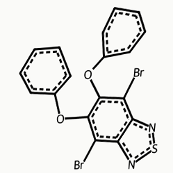 Brc1c(Oc2ccccc2)c(Oc2ccccc2)c(Br)c2nsnc12